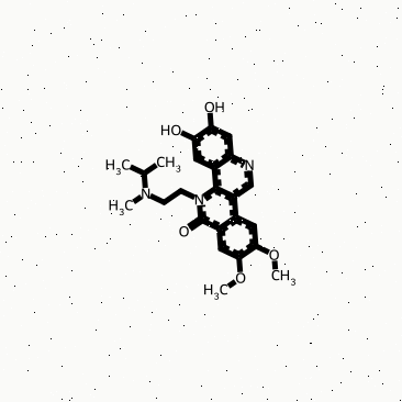 COc1cc2c(=O)n(CCN(C)C(C)C)c3c4cc(O)c(O)cc4ncc3c2cc1OC